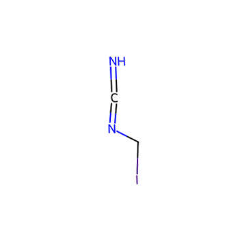 N=C=NCI